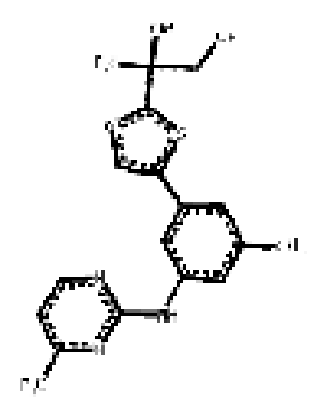 Cc1cc(Nc2nccc(C(F)(F)F)n2)cc(-c2cnc(C(O)(CO)C(F)(F)F)s2)c1